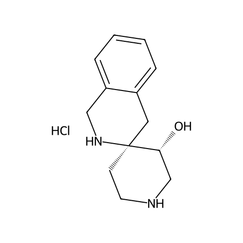 Cl.O[C@@H]1CNCC[C@]12Cc1ccccc1CN2